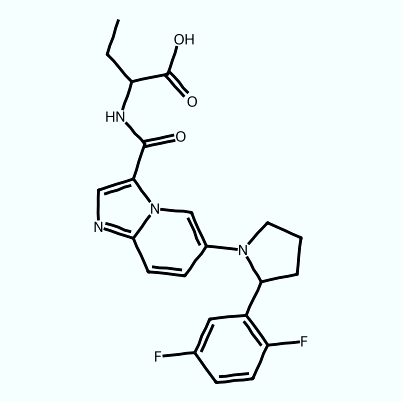 CCC(NC(=O)c1cnc2ccc(N3CCCC3c3cc(F)ccc3F)cn12)C(=O)O